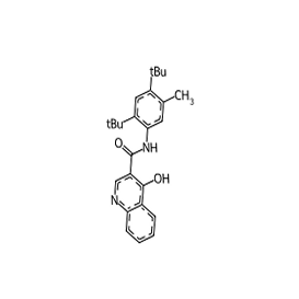 Cc1cc(NC(=O)c2cnc3ccccc3c2O)c(C(C)(C)C)cc1C(C)(C)C